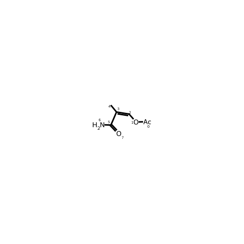 CC(=O)OC=C(C)C(N)=O